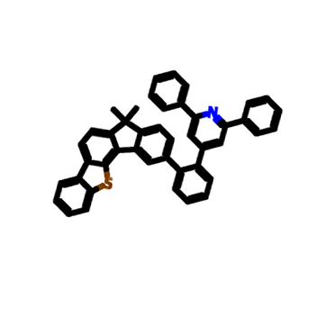 CC1(C)c2ccc(-c3ccccc3-c3cc(-c4ccccc4)nc(-c4ccccc4)c3)cc2-c2c1ccc1c2sc2ccccc21